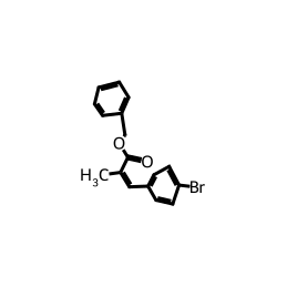 CC(=Cc1ccc(Br)cc1)C(=O)OCc1ccccc1